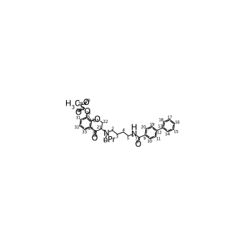 CCCN(CCCCNC(=O)c1ccc(-c2ccccc2)cc1)[C@@H]1COc2c(OS(C)(=O)=O)cccc2C1=O